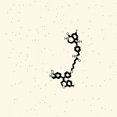 CC/C(=C(/c1ccc(OCCCCCC(=O)NCc2ccc(-c3[nH]c4cc(F)cc5c4c3CCNC5=O)cc2)cc1)c1ccc2[nH]ncc2c1)c1ccc(F)cc1Cl